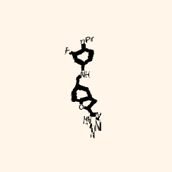 CCCc1ccc(NCc2ccc3oc(-c4nnn[nH]4)cc3c2)cc1F